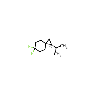 CC(C)[C@@H]1CC12CCC(F)(F)CC2